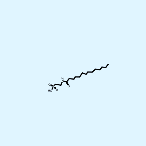 CCCCCCCCCCCCCC(=O)NCCS(=O)(=O)O